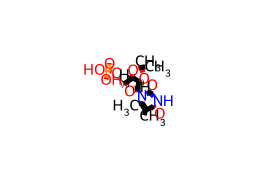 Cc1c(C)n([C@@H]2O[C@H](COP(=O)(O)O)[C@H]3OC(C)(C)O[C@H]32)c(=O)[nH]c1=O